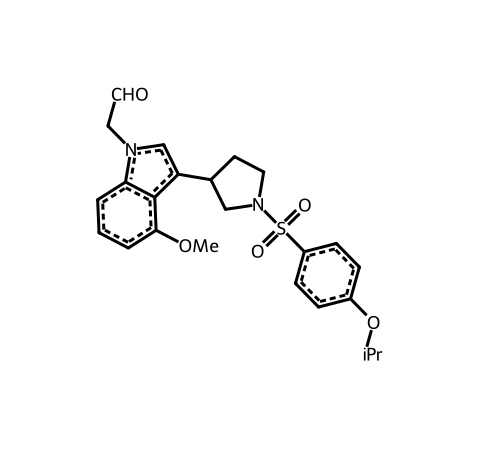 COc1cccc2c1c(C1CCN(S(=O)(=O)c3ccc(OC(C)C)cc3)C1)cn2CC=O